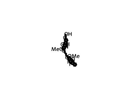 COc1cc2c(cc1OCCCCCOc1cc3c(cc1OC)C(=O)N1Cc4ccccc4CC1(F)C=N3)N=C[C@@H]1Cc3ccc(OCCO)cc3CN1C2=O